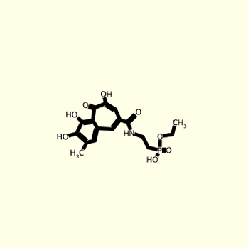 CCOP(=O)(O)CCNC(=O)c1cc(O)c(=O)c2c(O)c(O)c(C)cc2c1